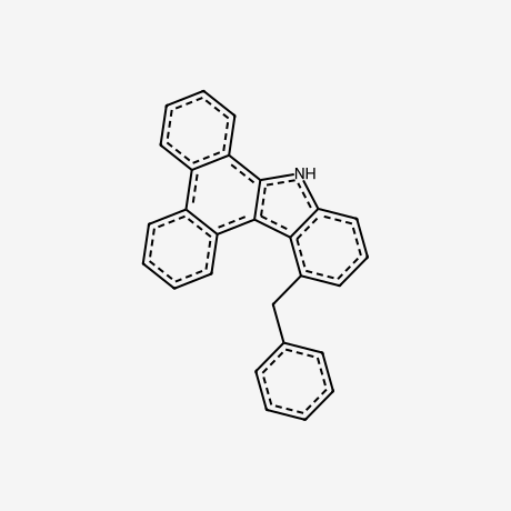 c1ccc(Cc2cccc3[nH]c4c5ccccc5c5ccccc5c4c23)cc1